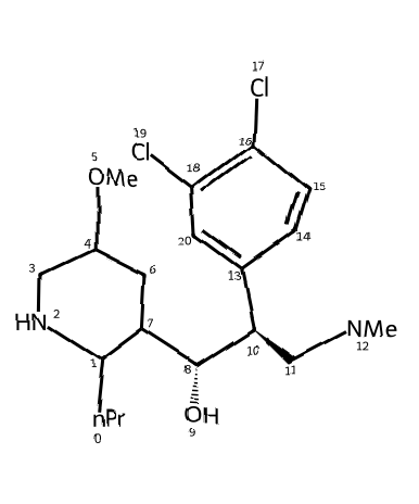 CCCC1NCC(OC)CC1[C@@H](O)[C@H](CNC)c1ccc(Cl)c(Cl)c1